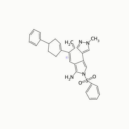 C=C/C(=C\c1c(-c2cnn(C)c2)cn(S(=O)(=O)c2ccccc2)c1N)C1=CCC(c2ccccc2)CC1